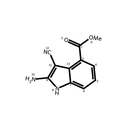 COC(=O)c1cccc2[nH]c(N)c(C#N)c12